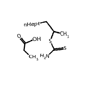 CCC(=O)O.CCCCCCCCC(C)SC(N)=S